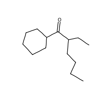 CCCCC(CC)C(=O)C1CCCCC1